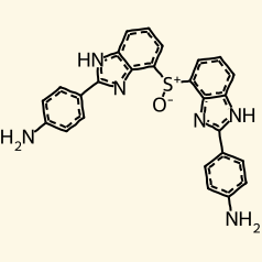 Nc1ccc(-c2nc3c([S+]([O-])c4cccc5[nH]c(-c6ccc(N)cc6)nc45)cccc3[nH]2)cc1